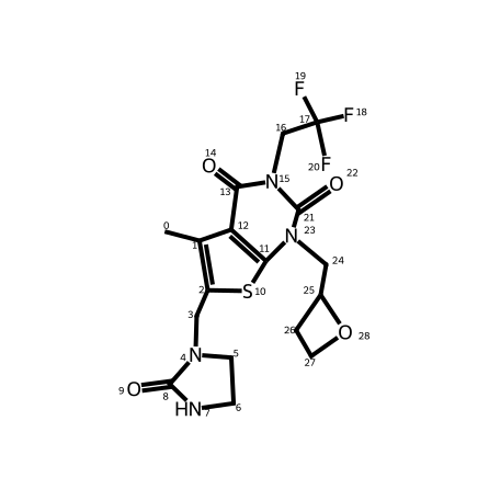 Cc1c(CN2CCNC2=O)sc2c1c(=O)n(CC(F)(F)F)c(=O)n2CC1CCO1